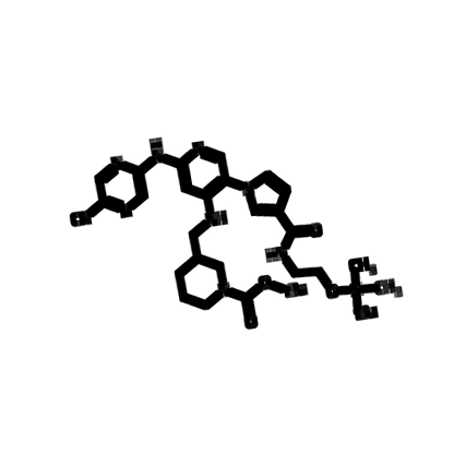 [C-]#[N+]c1cnc(Nc2cc(NCC3CCCN(C(=O)OC(C)(C)C)C3)c(-n3ccc(C(=O)NCCO[Si](C)(C)C(C)(C)C)c3)cn2)cn1